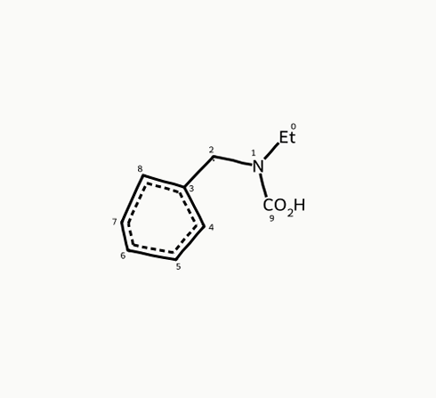 CCN([CH]c1ccccc1)C(=O)O